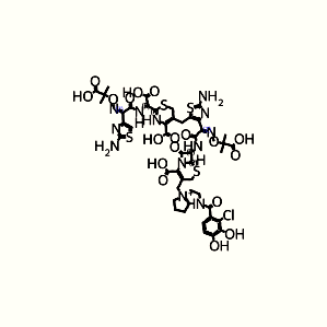 CC(C)(O/N=C(\C(=O)N[C@H](C(=O)O)[C@@H]1NC(C(=O)O)=C(Cc2sc(N)nc2/C(=N/OC(C)(C)C(=O)O)C(=O)N[C@@H]2C(=O)N3C(C(=O)O)=C(C[N+]4(CCNC(=O)c5ccc(O)c(O)c5Cl)CCCC4)CS[C@H]23)CS1)c1csc(N)n1)C(=O)O